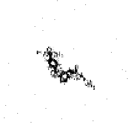 CCOC(=O)c1cc2cc(NS(=O)(=O)c3ccc(C(C)(C)C)cc3)ncc2[nH]1